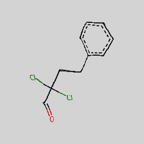 O=CC(Cl)(Cl)CCc1ccccc1